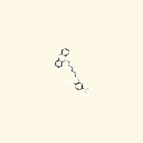 CCN(CC)c1ccc(C=O)c(OCCCCCCN2c3ccccc3Sc3ccccc32)c1